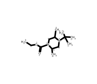 CCOC(=O)N1CC(C)N(C(C)(C)C)CC1C